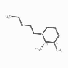 CCOCCN1CCC[C@@H](C)[C@@H]1C